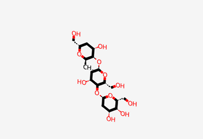 C[C@H]1O[C@H](CO)C[C@H](O)[C@@H]1O[C@H]1C[C@@H](O)C(O[C@H]2C[C@@H](O)[C@@H](O)[C@@H](CO)O2)[C@@H](CO)O1